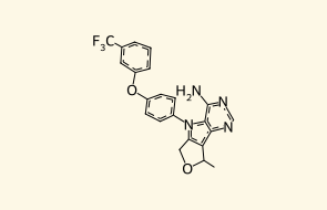 CC1OCc2c1c1ncnc(N)c1n2-c1ccc(Oc2cccc(C(F)(F)F)c2)cc1